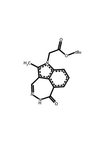 Cc1c2c3c(cccc3n1CC(=O)OC(C)(C)C)C(=O)NN=C2